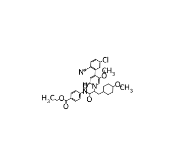 CCOC(=O)c1ccc(NC(=O)C(CC2CCC(OC)CC2)n2cc(OC)c(-c3cc(Cl)ccc3C#N)cc2=O)cc1